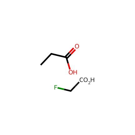 CCC(=O)O.O=C(O)CF